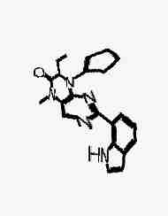 CCC1C(=O)N(C)c2cnc(-c3cccc4cc[nH]c34)nc2N1C1CCCC1